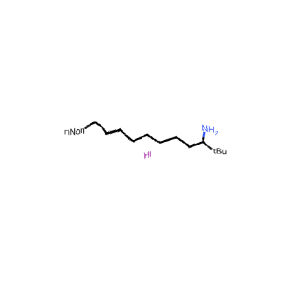 CCCCCCCCCCCCCCCCCC(N)C(C)(C)C.I